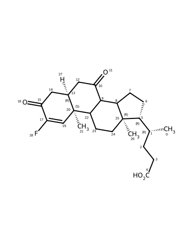 C[C@H](CCC(=O)O)[C@H]1CCC2C3C(=O)C[C@@H]4CC(=O)C(F)=C[C@]4(C)C3CC[C@@]21C